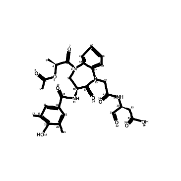 CC(=O)O[C@@H](C)C(=O)N1C[C@H](NC(=O)c2cc(C)c(O)c(C)c2)C(=O)N(CC(=O)N[C@H](C=O)CC(=O)O)c2ccccc21